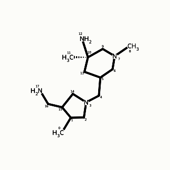 CC1CN(CC2CN(C)C[C@](C)(N)C2)CC1CN